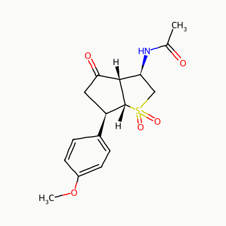 COc1ccc([C@H]2CC(=O)[C@H]3[C@@H]2S(=O)(=O)C[C@@H]3NC(C)=O)cc1